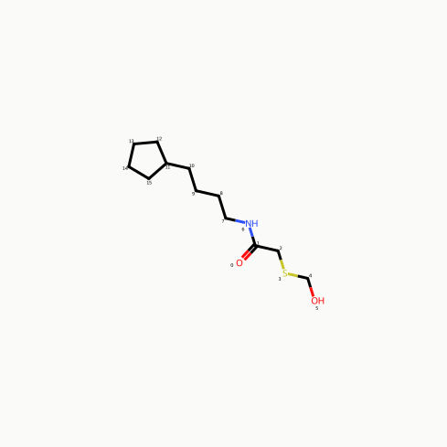 O=C(CSCO)NCCCCC1CCCC1